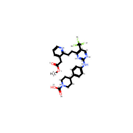 COC(=O)Cc1cccnc1CCc1nc(Nc2ccc(C3CCN(C(=O)O)CC3)cc2)ncc1C(F)(F)F